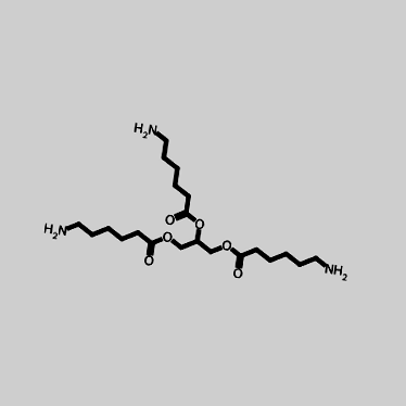 NCCCCCC(=O)OCC(COC(=O)CCCCCN)OC(=O)CCCCCN